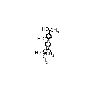 Cc1cc(C(C)O)ccc1N1CCN(C(=O)OC(C)(C)C)CC1